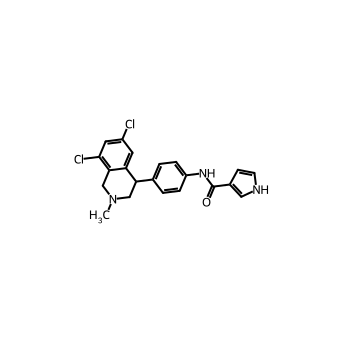 CN1Cc2c(Cl)cc(Cl)cc2C(c2ccc(NC(=O)c3cc[nH]c3)cc2)C1